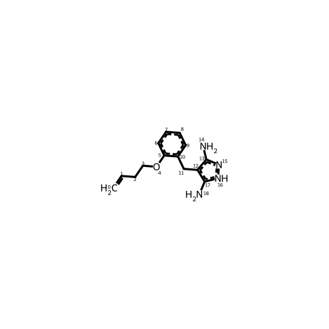 C=CCCOc1ccccc1Cc1c(N)n[nH]c1N